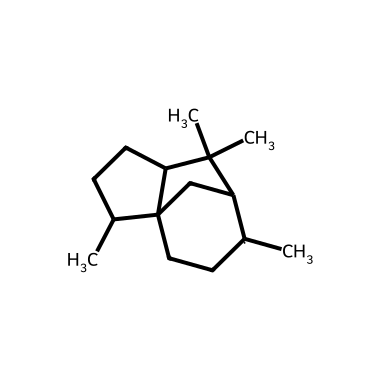 C[C]1CCC23CC1C(C)(C)C2CCC3C